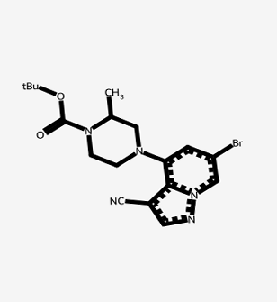 CC1CN(c2cc(Br)cn3ncc(C#N)c23)CCN1C(=O)OC(C)(C)C